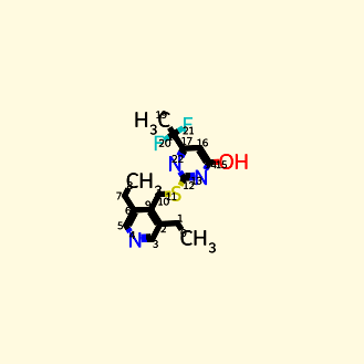 CCc1cncc(CC)c1CSc1nc(O)cc(C(C)(F)F)n1